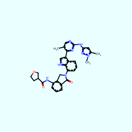 Cc1cnc(Nc2cc(C)n(C)n2)nc1-c1c[nH]c2c(N3Cc4c(NC(=O)C5CCOC5)cccc4C3=O)cccc12